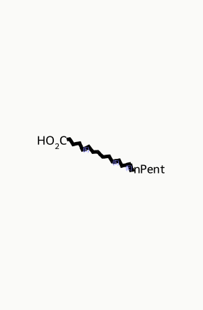 CCCCC/C=C/C/C=C/CCCC/C=C/CCCC(=O)O